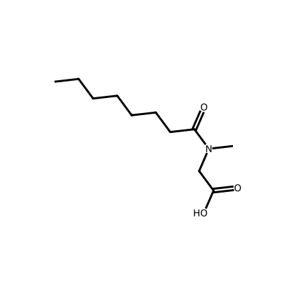 CCCCCCCC(=O)N(C)CC(=O)O